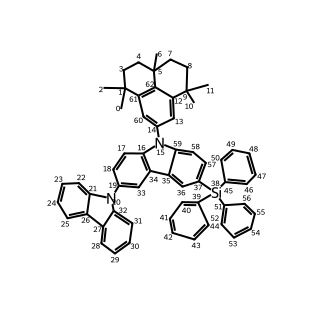 CC1(C)CCC2(C)CCC(C)(C)c3cc(-n4c5ccc(-n6c7ccccc7c7ccccc76)cc5c5cc([Si](c6ccccc6)(c6ccccc6)c6ccccc6)ccc54)cc1c32